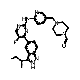 CCC(C)c1[nH]nc2ccc(-c3nc(Nc4ccc(CN5CCN(C=O)CC5)cn4)ncc3F)cc12